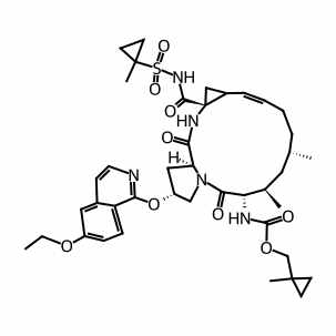 CCOc1ccc2c(O[C@@H]3C[C@H]4C(=O)N[C@]5(C(=O)NS(=O)(=O)C6(C)CC6)CC5/C=C\CC[C@H](C)C[C@@H](C)[C@H](NC(=O)OCC5(C)CC5)C(=O)N4C3)nccc2c1